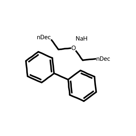 CCCCCCCCCCCOCCCCCCCCCCC.[NaH].c1ccc(-c2ccccc2)cc1